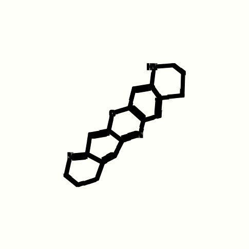 c1c2c(cc3c1N=c1cc4c(cc1O3)=NCCC4)NCCC2